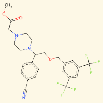 COC(=O)CN1CCN(C(COCc2cc(C(F)(F)F)cc(C(F)(F)F)c2)c2ccc(C#N)cc2)CC1